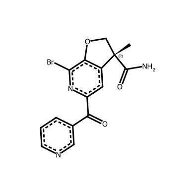 C[C@]1(C(N)=O)COc2c1cc(C(=O)c1cccnc1)nc2Br